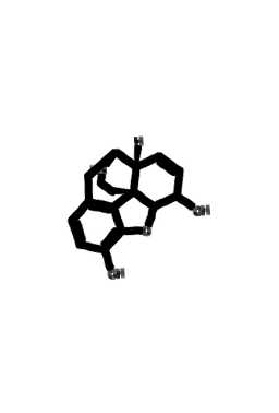 Oc1ccc2c3c1OC1C(O)C=C[C@H]4C(C2)NCC[C@]314